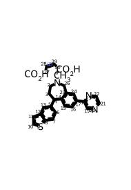 CN1CCC(c2ccc3sccc3c2)c2ccc(-c3cnccn3)cc2C1.O=C(O)/C=C\C(=O)O